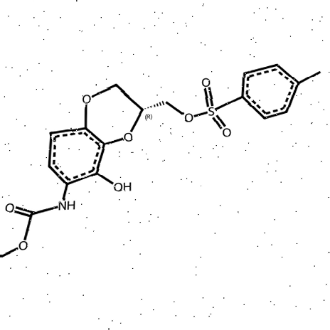 COC(=O)Nc1ccc2c(c1O)O[C@@H](COS(=O)(=O)c1ccc(C)cc1)CO2